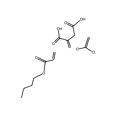 C=C(CC(=O)O)C(=O)O.C=C(Cl)Cl.C=CC(=O)OCCCC